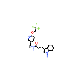 C[C@@H](NC(=O)CCc1c[nH]c2ccccc12)c1ccc(OCC(F)(F)F)nc1